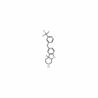 CC12CCNCC1Oc1ccc(Cc3cccc(C(F)(F)F)c3)cc12